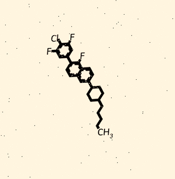 CCCCCC1CCC(c2ccc3c(F)c(-c4cc(F)c(Cl)c(F)c4)ccc3c2)CC1